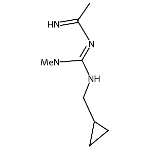 CN/C(=N\C(C)=N)NCC1CC1